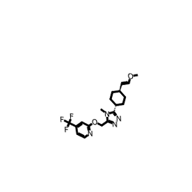 CO/C=C/[C@H]1CC[C@H](c2nnc(COc3cc(C(F)(F)F)ccn3)n2C)CC1